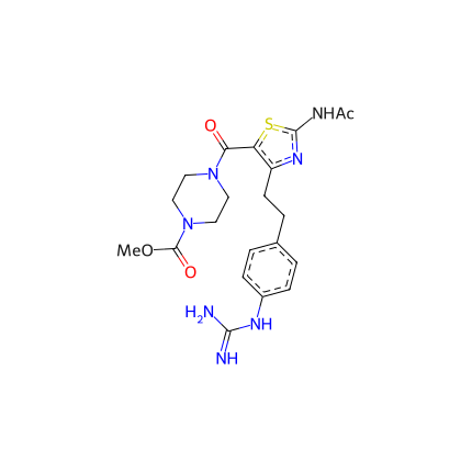 COC(=O)N1CCN(C(=O)c2sc(NC(C)=O)nc2CCc2ccc(NC(=N)N)cc2)CC1